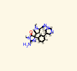 CN1C(=O)C(C2=CN(C)C(C#N)C2)(c2cccc(-c3cncnc3)c2)N=C1N